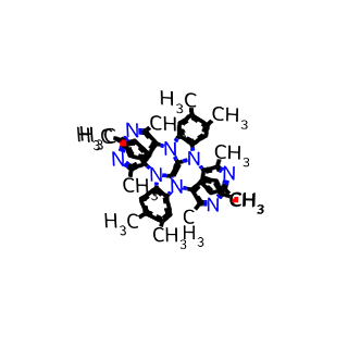 Cc1ccc(N2C(=C3N(c4ccc(C)nc4C)c4cc(C)c(C)cc4N3c3ccc(C)nc3C)N(c3ccc(C)nc3C)c3cc(C)c(C)cc32)c(C)n1